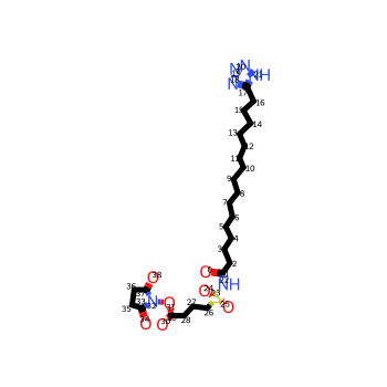 O=C(CCCCCCCCCCCCCCCc1nnn[nH]1)NS(=O)(=O)CCCC(=O)ON1C(=O)CCC1=O